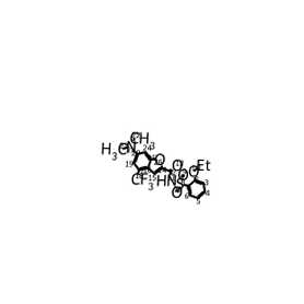 CCOc1ccccc1S(=O)(=O)NC(=O)c1cc2c(C(F)(F)F)cc(N(C)C)cc2o1